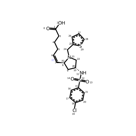 O=C(O)CCC/C=C\[C@@H]1C[C@@H](NS(=O)(=O)c2ccc(Cl)cc2)CN1Cc1cccs1